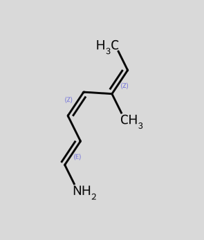 C\C=C(C)/C=C\C=C\N